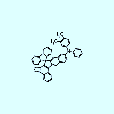 Cc1ccc(N(c2ccccc2)c2ccc3cc4c(cc3c2)C2(c3ccccc3-c3ccccc32)c2c-4c3ccccc3c3ccccc23)cc1C